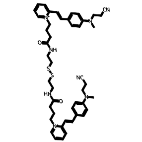 CN(CCC#N)c1ccc(/C=C/c2cccc[n+]2CCCC(=O)NCCSSCCNC(=O)CCC[n+]2ccccc2/C=C/c2ccc(N(C)CCC#N)cc2)cc1